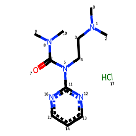 CN(C)CCN(C(=O)N(C)C)c1ncccn1.Cl